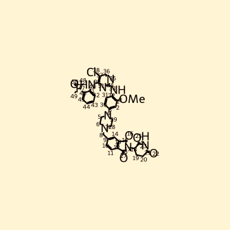 COc1cc(N2CCN(Cc3ccc4c(c3)C(=O)N(C3CCC(=O)NC3=O)C4=O)CC2)ccc1Nc1ncc(Cl)c(Nc2ccccc2P(C)(C)=O)n1